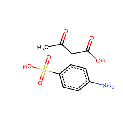 CC(=O)CC(=O)O.Nc1ccc(S(=O)(=O)O)cc1